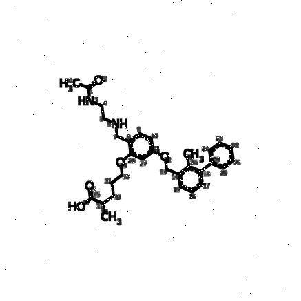 CC(=O)NCCNCc1ccc(OCc2cccc(-c3ccccc3)c2C)cc1OCCCC(C)C(=O)O